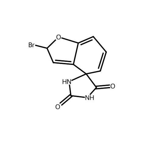 O=C1NC(=O)C2(C=CC=C3OC(Br)C=C32)N1